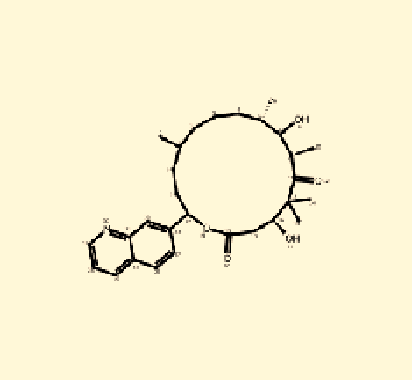 CC1CCC[C@H](C)C(O)[C@@H](C)C(=O)C(C)(C)[C@@H](O)CC(=O)OC(c2ccc3cccnc3c2)CC1